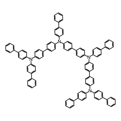 c1ccc(-c2ccc(N(c3ccc(-c4ccccc4)cc3)c3ccc(-c4ccc(N(c5ccc(-c6ccccc6)cc5)c5ccc(-c6ccc(N(c7ccc(-c8ccccc8)cc7)c7ccc(-c8ccc(N(c9ccc(-c%10ccccc%10)cc9)c9ccc(-c%10ccccc%10)cc9)cc8)cc7)cc6)cc5)cc4)cc3)cc2)cc1